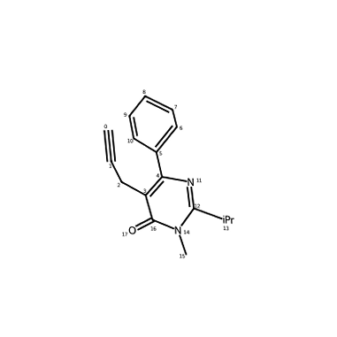 C#CCc1c(-c2ccccc2)nc(C(C)C)n(C)c1=O